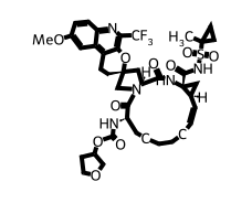 COc1ccc2nc(C(F)(F)F)c3c(c2c1)CC[C@]1(C[C@H]2C(=O)N[C@]4(C(=O)NS(=O)(=O)C5(C)CC5)C[C@H]4/C=C\CCCCC[C@H](NC(=O)OC4CCOC4)C(=O)N2C1)O3